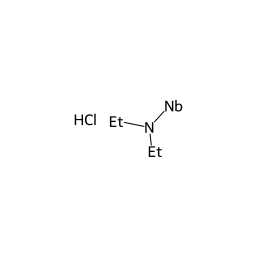 CC[N]([Nb])CC.Cl